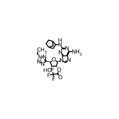 CCn1nnc([C@H]2O[C@@H](n3cnc4c(N)nc(NC5CC6CCC5C6)nc43)[C@H](OC(=O)C(F)(F)F)[C@@H]2O)n1